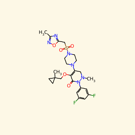 Cc1noc(CS(=O)(=O)N2CCN(C3=C(OCC4(C)CC4)C(=O)N(c4cc(F)cc(F)c4)N(C)C3)CC2)n1